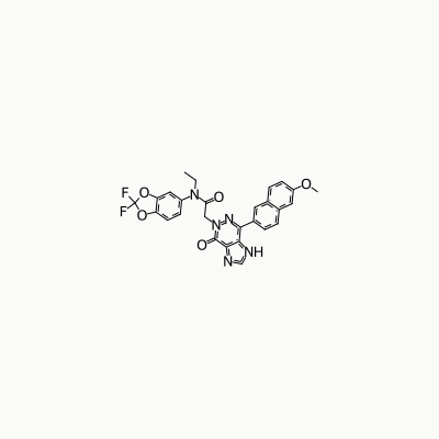 CCN(C(=O)Cn1nc(-c2ccc3cc(OC)ccc3c2)c2[nH]cnc2c1=O)c1ccc2c(c1)OC(F)(F)O2